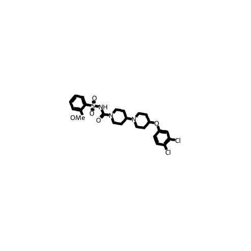 COc1ccccc1S(=O)(=O)NC(=O)N1CCC(N2CCC(Oc3ccc(Cl)c(Cl)c3)CC2)CC1